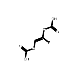 O=C(O)O/C=C(\F)OC(=O)O